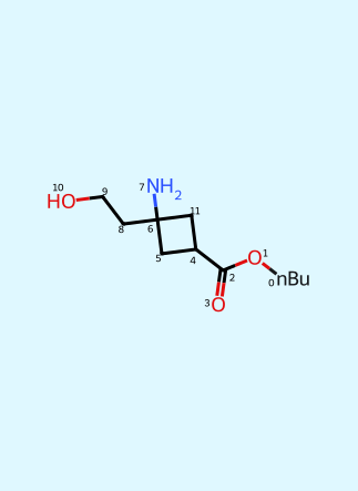 CCCCOC(=O)C1CC(N)(CCO)C1